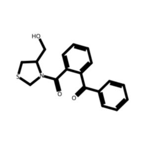 O=C(c1ccccc1)c1ccccc1C(=O)N1CSCC1CO